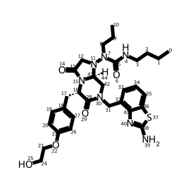 CCCCNC(=O)N(CCC)N1CC(=O)N2[C@@H](Cc3ccc(OCCO)cc3)C(=O)N(Cc3cccc4sc(N)nc34)C[C@@H]21